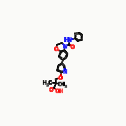 CC(C)(COc1ccc(-c2ccc3c(c2)OCCN3C(=O)Nc2ccccc2)cn1)C(=O)O